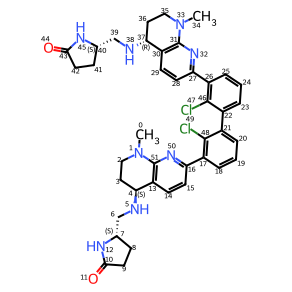 CN1CC[C@H](NC[C@@H]2CCC(=O)N2)c2ccc(-c3cccc(-c4cccc(-c5ccc6c(n5)N(C)CC[C@H]6NC[C@@H]5CCC(=O)N5)c4Cl)c3Cl)nc21